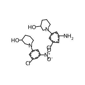 Nc1cc(Cl)cc(N2CCCC(O)C2)c1.O=[N+]([O-])c1cc(Cl)cc(N2CCCC(O)C2)c1